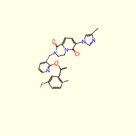 Cc1cn(-c2ccc3n(c2=O)CCN(Cc2cccnc2OC(C)c2cc(F)ccc2C)C3=O)cn1